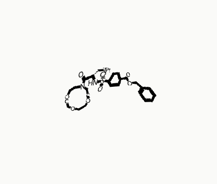 CC(C)C[C@H](NS(=O)(=O)c1ccc(C(=O)OCc2ccccc2)cc1)C(=O)N1CCOCCOCCOCC1